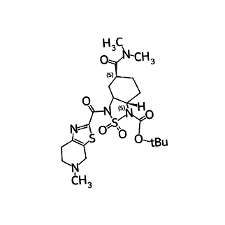 CN1CCc2nc(C(=O)N3C4C[C@@H](C(=O)N(C)C)CC[C@@H]4N(C(=O)OC(C)(C)C)S3(=O)=O)sc2C1